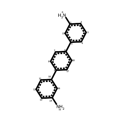 Nc1cccc(-c2ccc(-c3cccc(N)c3)cc2)c1